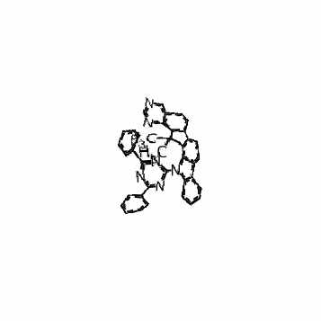 CC1(C)c2c(ccc3cncnc23)-c2ccc3c4ccccc4n(-c4nc(-c5ccccc5)nc(-c5ccccc5)n4)c3c21